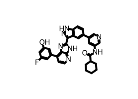 O=C(Nc1cncc(-c2ccc3[nH]nc(-c4nc5c(-c6cc(O)cc(F)c6)ccnc5[nH]4)c3c2)c1)C1CCCCC1